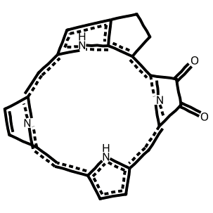 O=C1C(=O)c2nc1cc1ccc(cc3nc(cc4cc5c([nH]4)c2CC5)C=C3)[nH]1